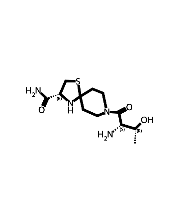 C[C@@H](O)[C@H](N)C(=O)N1CCC2(CC1)N[C@H](C(N)=O)CS2